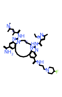 C=C(Nc1nc2cc(C(=C)N)cc3c2n1C/C=C/Cn1c(NC(=C)c2cc(C)nn2CC)nc2cc(C(=C)NCCCN4CCC(F)CC4)cc(c21)CCCCC3)/C(C)=C/C(C)=N\C